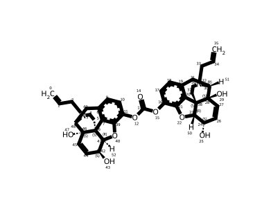 C=CCN1CC[C@]23c4c5ccc(OC(=O)Oc6ccc7c8c6O[C@H]6[C@@H](O)C=C[C@@]9(O)[C@@H](C7)N(CC=C)CC[C@]869)c4O[C@H]2[C@@H](O)C=C[C@@]3(O)C1C5